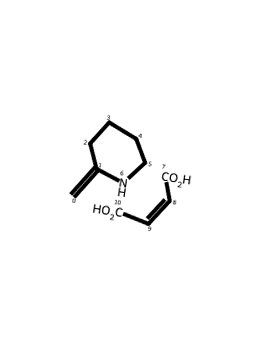 C=C1CCCCN1.O=C(O)/C=C\C(=O)O